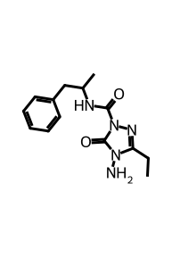 CCc1nn(C(=O)NC(C)Cc2ccccc2)c(=O)n1N